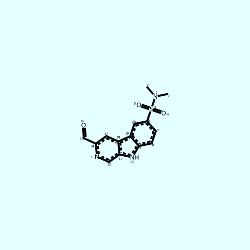 CN(C)S(=O)(=O)c1ccc2[nH]c3cnc(C=O)cc3c2c1